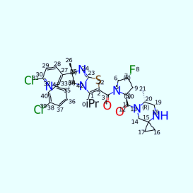 CC(C)C1=C(C(=O)N2C[C@H](F)C[C@H]2C(=O)N2CC3(CC3)NC[C@H]2C)SC2=N[C@@](C)(c3ccc(Cl)nc3)[C@@H](c3ccc(Cl)cc3)N21